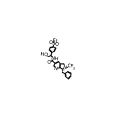 CCS(=O)(=O)c1ccc([C@H](CO)NC(=O)c2cnc3c(c2)CN(CC(F)(F)F)[C@H]3Cc2ccccc2)cc1